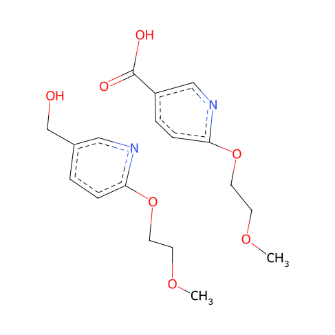 COCCOc1ccc(C(=O)O)cn1.COCCOc1ccc(CO)cn1